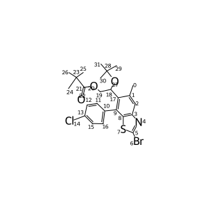 Cc1cc2nc(Br)sc2c(-c2ccc(Cl)cc2)c1C(COC(=O)C(C)(C)C)OC(C)(C)C